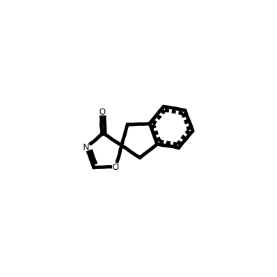 O=C1N=COC12Cc1ccccc1C2